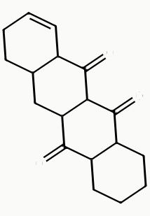 O=C1C2CCCCC2C(=O)C2C(=O)C3C=CCCC3CC12